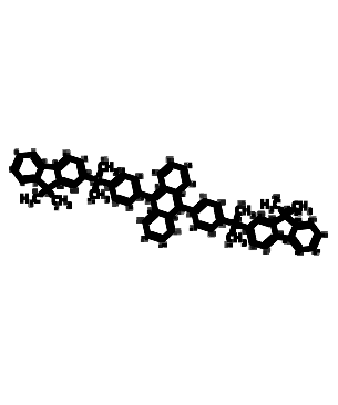 CC1(C)c2ccccc2-c2ccc([Si](C)(C)c3ccc(-c4c5ccccc5c(-c5ccc([Si](C)(C)c6ccc7c(c6)C(C)(C)c6ccccc6-7)cc5)c5ccccc45)cc3)cc21